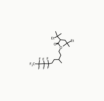 CCC(C)(C)CC(C(=O)OCCC(C)CCC(F)(F)C(F)(F)C(F)(F)C(F)(F)F)C(C)(C)CC